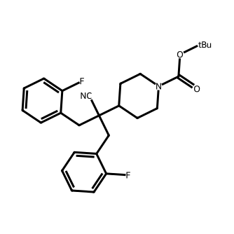 CC(C)(C)OC(=O)N1CCC(C(C#N)(Cc2ccccc2F)Cc2ccccc2F)CC1